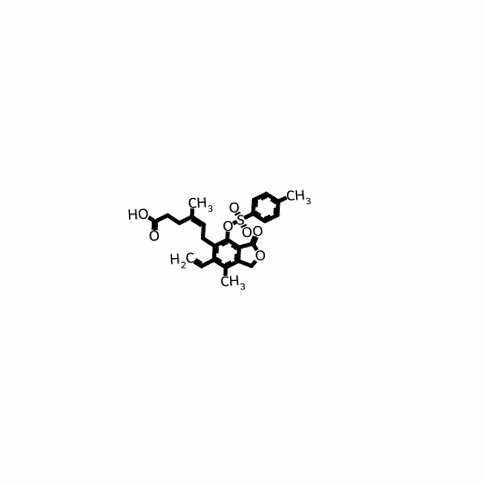 C=Cc1c(C)c2c(c(OS(=O)(=O)c3ccc(C)cc3)c1CC=C(C)CCC(=O)O)C(=O)OC2